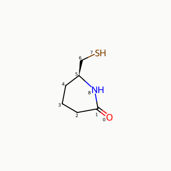 O=C1CCC[C@@H](CS)N1